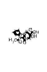 CC(=O)N(c1ccccc1)C1C(=O)N2CC(O)(C(=O)O)CS[C@H]12